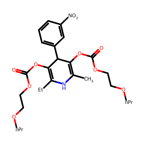 CCCOCCOC(=O)OC1=C(C)NC(CC)=C(OC(=O)OCCOCCC)C1c1cccc([N+](=O)[O-])c1